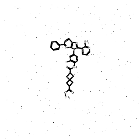 COC(=O)C1CC2(CC(C(=O)Nc3ccc(-n4c(-c5cccnc5N)nc5ccc(-c6ccccc6)nc54)cc3F)C2)C1